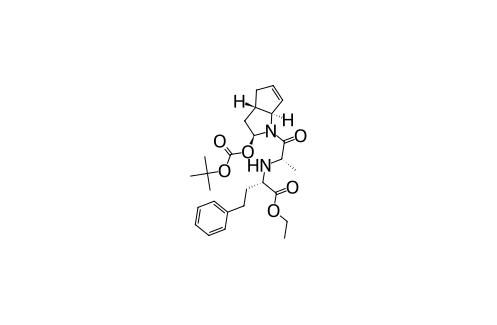 CCOC(=O)[C@H](CCc1ccccc1)N[C@@H](C)C(=O)N1[C@@H](OC(=O)OC(C)(C)C)C[C@@H]2CC=C[C@H]21